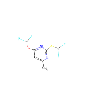 Cc1cc(OC(F)F)nc(SC(F)F)n1